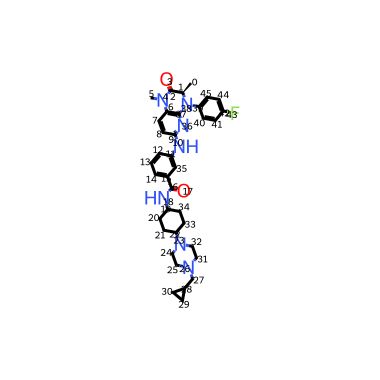 C[C@@H]1C(=O)N(C)c2ccc(Nc3cccc(C(=O)NC4CCC(N5CCN(CC6CC6)CC5)CC4)c3)nc2N1c1ccc(F)cc1